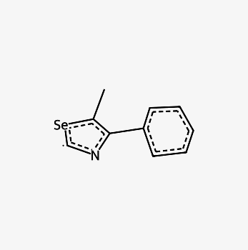 Cc1[se][c]nc1-c1ccccc1